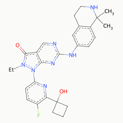 CCn1c(=O)c2cnc(Nc3ccc4c(c3)CCNC4(C)C)nc2n1-c1ccc(F)c(C2(O)CCC2)n1